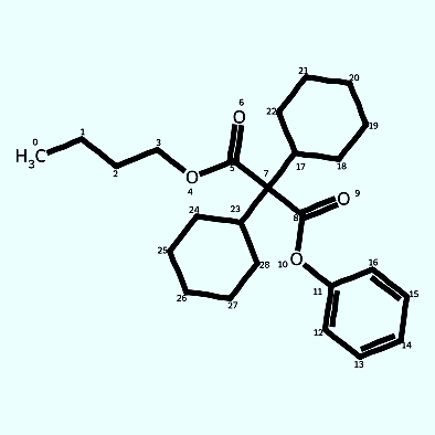 CCCCOC(=O)C(C(=O)Oc1ccccc1)(C1CCCCC1)C1CCCCC1